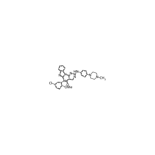 COc1ccc(Cl)cc1-n1c(=O)c2cnc(Nc3ccc(N4CCN(C)CC4)cc3)nc2n2c3ccccc3nc12